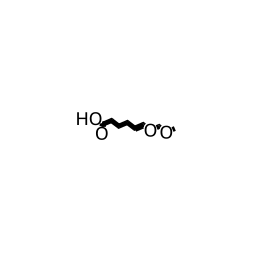 COCOC=CCCCC(=O)O